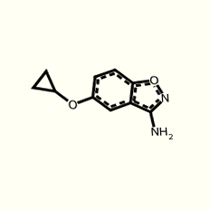 Nc1noc2ccc(OC3CC3)cc12